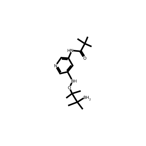 BC(C)(C)C(C)(C)OBc1cncc(NC(=O)C(C)(C)C)c1